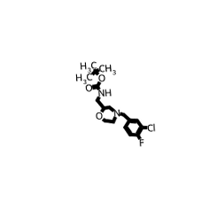 CC(C)(C)OC(=O)NCC1CN(Cc2ccc(F)c(Cl)c2)CCO1